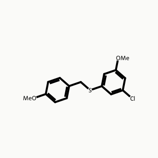 COc1ccc(CSc2cc(Cl)cc(OC)c2)cc1